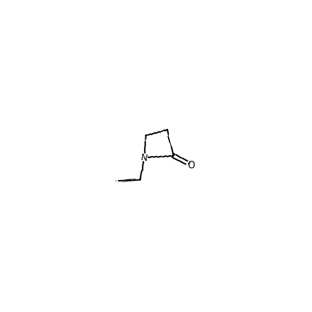 [CH2]CN1CCC1=O